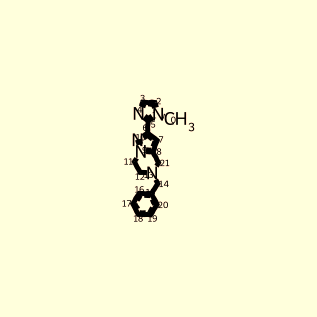 Cn1ccnc1-c1cc2n(n1)CCN(Cc1ccccc1)C2